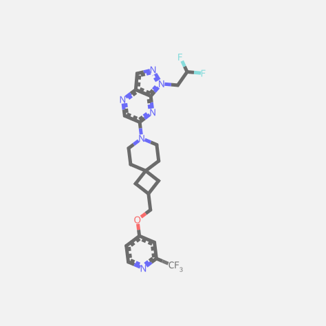 FC(F)Cn1ncc2ncc(N3CCC4(CC3)CC(COc3ccnc(C(F)(F)F)c3)C4)nc21